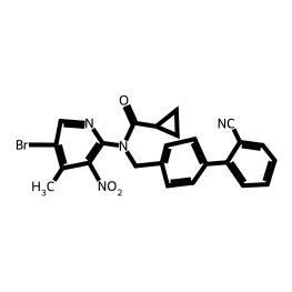 Cc1c(Br)cnc(N(Cc2ccc(-c3ccccc3C#N)cc2)C(=O)C2CC2)c1[N+](=O)[O-]